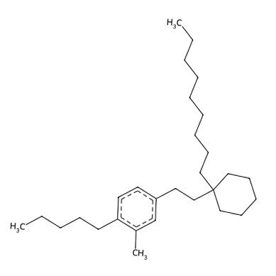 CCCCCCCCCC1(CCc2ccc(CCCCC)c(C)c2)CCCCC1